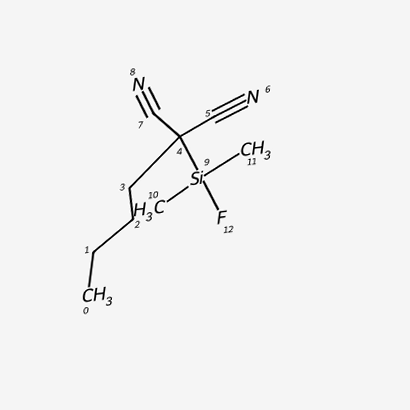 CCCCC(C#N)(C#N)[Si](C)(C)F